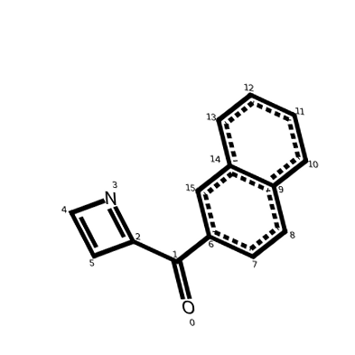 O=C(C1=NC=C1)c1ccc2ccccc2c1